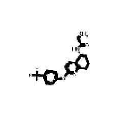 C=CC(=O)N[C@@H]1CCCc2nc(Oc3ccc(C(F)(F)F)cc3)ccc21